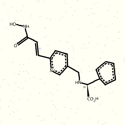 O=C(/C=C/c1ccc(CN[C@H](C(=O)O)c2ccccc2)cn1)NO